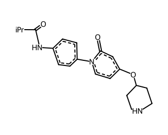 CC(C)C(=O)Nc1ccc(-n2ccc(OC3CCNCC3)cc2=O)cc1